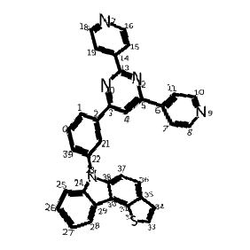 c1cc(-c2cc(-c3ccncc3)nc(-c3ccncc3)n2)cc(-n2c3ccccc3c3c4sccc4ccc32)c1